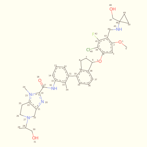 COc1cc(OC2CCc3c(-c4cccc(NC(=O)c5nc6c(n5C)CCN(C(C)CO)C6)c4C)cccc32)c(Cl)c(F)c1CNC1(CO)CC1